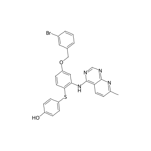 Cc1ccc2c(Nc3cc(OCc4cccc(Br)c4)ccc3Sc3ccc(O)cc3)ncnc2n1